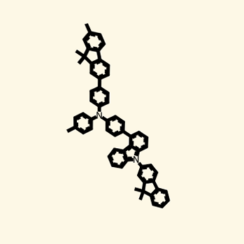 Cc1ccc(N(c2ccc(-c3ccc4c(c3)C(C)(C)c3cc(C)ccc3-4)cc2)c2ccc(-c3cccc4c3c3ccccc3n4-c3ccc4c(c3)C(C)(C)c3ccccc3-4)cc2)cc1